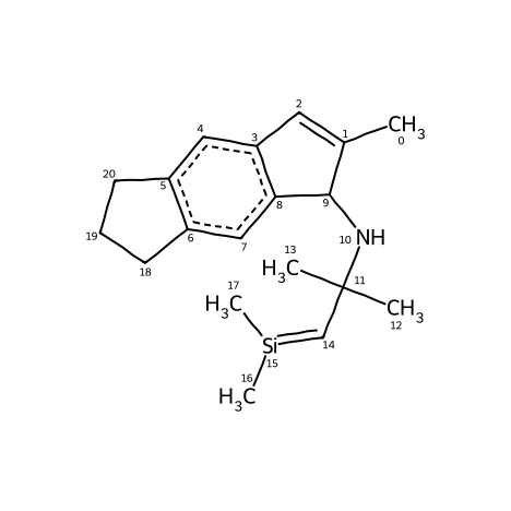 CC1=Cc2cc3c(cc2C1NC(C)(C)C=[Si](C)C)CCC3